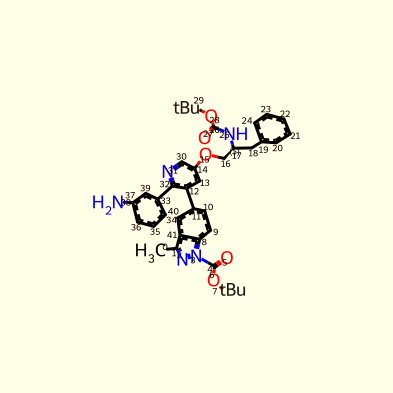 Cc1nn(C(=O)OC(C)(C)C)c2ccc(-c3cc(OC[C@H](Cc4ccccc4)NC(=O)OC(C)(C)C)cnc3-c3cccc(N)c3)cc12